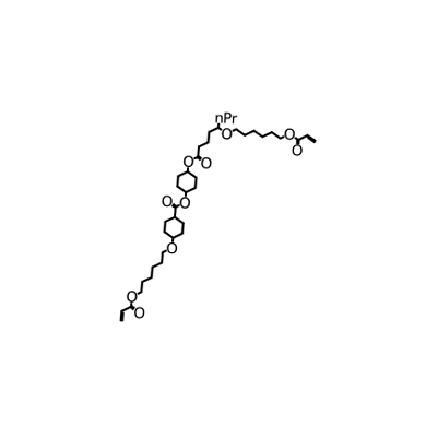 C=CC(=O)OCCCCCCOC(CCC)CCCC(=O)OC1CCC(OC(=O)C2CCC(OCCCCCCOC(=O)C=C)CC2)CC1